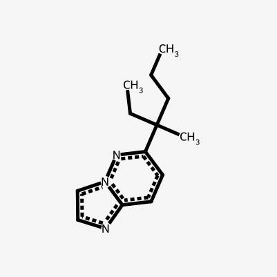 CCCC(C)(CC)c1ccc2nccn2n1